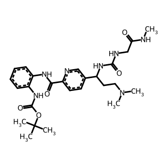 CNC(=O)CNC(=O)NC(CCN(C)C)c1ccc(C(=O)Nc2ccccc2NC(=O)OC(C)(C)C)nc1